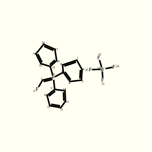 FC=P(c1ccccc1)(c1ccccc1)c1ccccc1.F[B-](F)(F)F